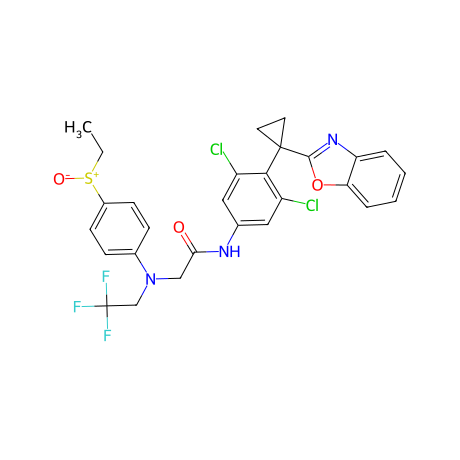 CC[S+]([O-])c1ccc(N(CC(=O)Nc2cc(Cl)c(C3(c4nc5ccccc5o4)CC3)c(Cl)c2)CC(F)(F)F)cc1